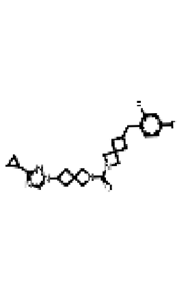 O=C(N1CC2(CC(Cc3ccc(F)cc3F)C2)C1)N1CC2(CC(n3cnc(C4CC4)n3)C2)C1